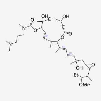 CCC(OC)C(C)C1OC1CC(C)(O)/C=C/C=C(\C)C1OC(=O)CC(O)CCC(C)(O)C(OC(=O)N(C)CCCN(C)C)/C=C/C1C